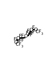 FC(F)(F)OC(F)(F)OC(F)(F)C(F)(F)COCC(F)(F)C(F)(F)OC(F)(F)OC(F)(F)F